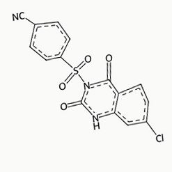 N#Cc1ccc(S(=O)(=O)n2c(=O)[nH]c3cc(Cl)ccc3c2=O)cc1